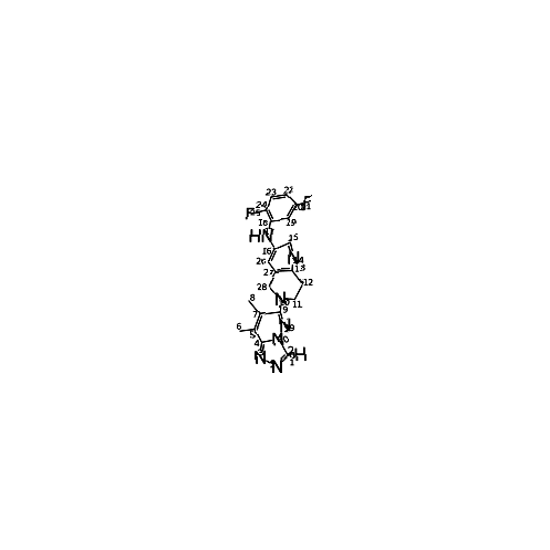 [2H]c1nnc2c(C)c(C)c(N3CCc4ncc(Nc5cc(F)ccc5F)cc4C3)nn12